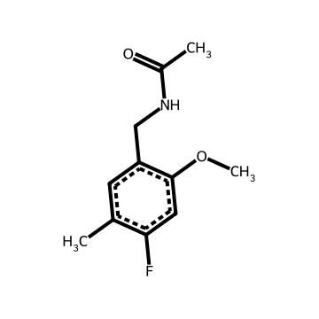 COc1cc(F)c(C)cc1CNC(C)=O